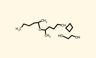 C1CCC1.CCCCC(C)OC(C)CCCC.OCCO